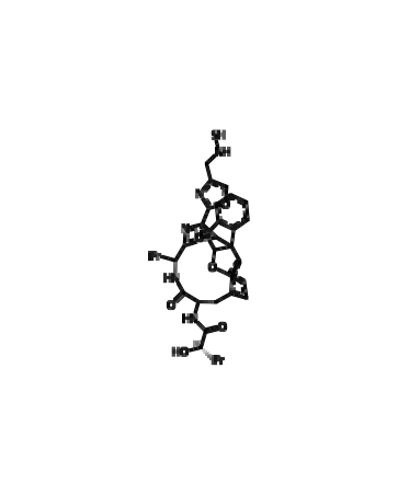 CC(C)C1NC(=O)C(NC(=O)[C@@H](O)C(C)C)Cc2ccc3c(c2)C2(c4ccccc4NC2O3)c2oc1nc2-c1nc(CNS)co1